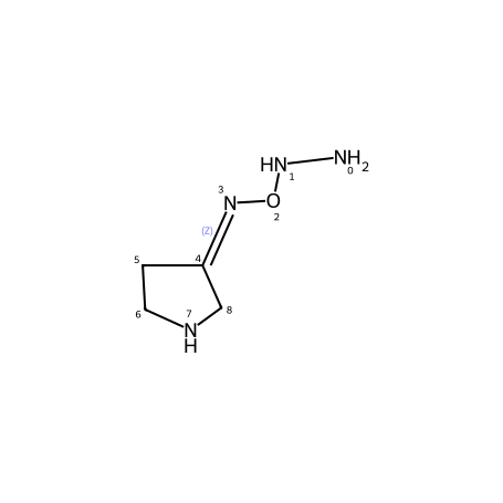 NNO/N=C1/CCNC1